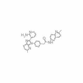 Cc1ccc2cc(NC(=O)Cc3ccc(-n4c(-c5cccnc5N)nc5ccc(C)nc54)cc3)ccc2n1